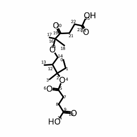 CCC(C)(OC(=O)CCC(=O)O)C(C)COC(C)(C)C(=O)CCC(=O)O